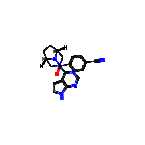 N#Cc1ccc(C(=O)N2[C@@H]3CC[C@H]2CN(c2ncnc4[nH]ccc24)C3)cc1